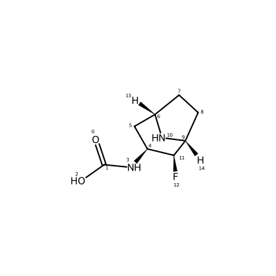 O=C(O)N[C@H]1C[C@@H]2CC[C@@H](N2)[C@H]1F